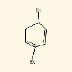 CC[C]1C=CC(CC)=CC1